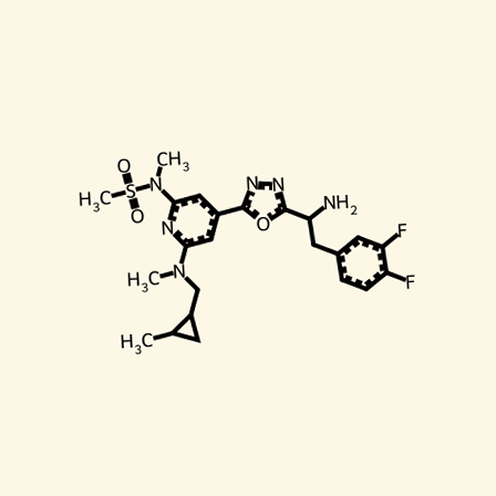 CC1CC1CN(C)c1cc(-c2nnc(C(N)Cc3ccc(F)c(F)c3)o2)cc(N(C)S(C)(=O)=O)n1